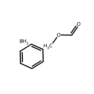 B.COC=O.c1ccccc1